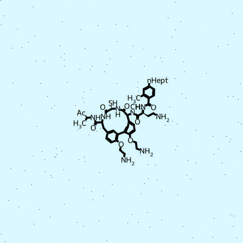 CCCCCCCc1ccc(C(=O)N[C@@H](CCN)C(=O)N(C)C2C(=O)N[C@@H](S)C(=O)NC(C(=O)N[C@@H](C)C(C)=O)Cc3ccc(OCCN)c(c3)-c3cc2ccc3OCCN)c(C)c1